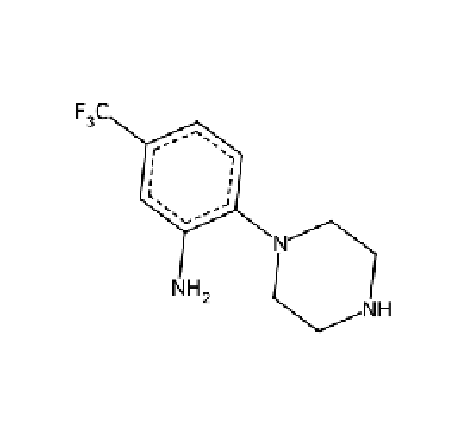 Nc1cc(C(F)(F)F)ccc1N1CCNCC1